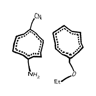 CCOc1ccccc1.N#Cc1ccc(N)cc1